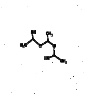 CC(S)OC(C)OC(C)S